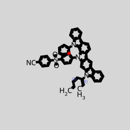 C=C/C=C\C(=C/C)n1c2ccccc2c2cc3c4ccc5c6ccccc6n(-c6ccccc6)c5c4n(-c4ccc(S(=O)(=O)c5ccc(C#N)cc5)cc4)c3cc21